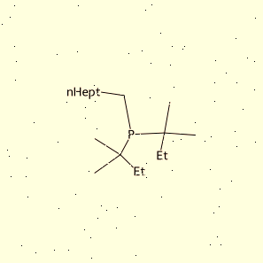 CCCCCCCCP(C(C)(C)CC)C(C)(C)CC